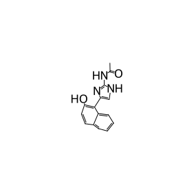 CC(=O)Nc1nc(-c2c(O)ccc3ccccc23)c[nH]1